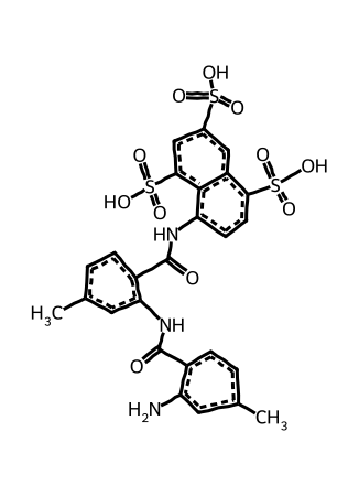 Cc1ccc(C(=O)Nc2cc(C)ccc2C(=O)Nc2ccc(S(=O)(=O)O)c3cc(S(=O)(=O)O)cc(S(=O)(=O)O)c23)c(N)c1